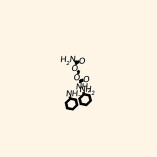 NC(=O)OCOC(N)=O.NC1CCCCC1.NC1CCCCC1